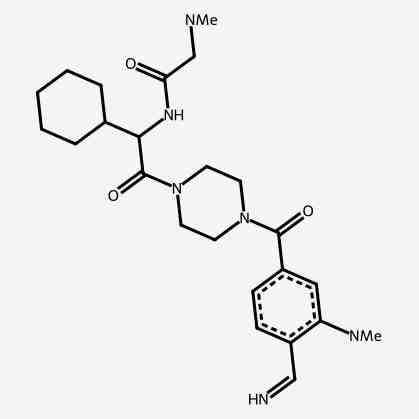 CNCC(=O)NC(C(=O)N1CCN(C(=O)c2ccc(C=N)c(NC)c2)CC1)C1CCCCC1